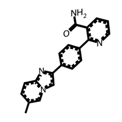 Cc1ccc2nc(-c3ccc(-c4ncccc4C(N)=O)cc3)cn2c1